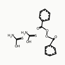 NC(O)=S.NC(O)=S.O=C(OOC(=O)c1ccccc1)c1ccccc1